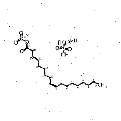 CCCCCCCC/C=C\CCCCCCCC(=O)OC(C)=O.O=S(=O)(O)O.[NaH]